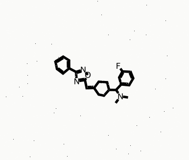 CN(C)C(c1cccc(F)c1)C1CCC(=Cc2nc(-c3ccccc3)no2)CC1